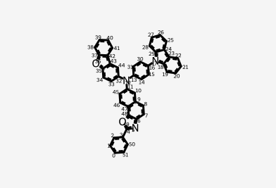 c1ccc(-c2nc3ccc4cc(N(c5ccc(-n6c7ccccc7c7ccccc76)cc5)c5ccc6oc7ccccc7c6c5)ccc4c3o2)cc1